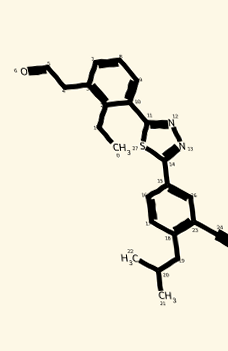 CCc1c(CC=O)cccc1-c1nnc(-c2ccc(CC(C)C)c(C#N)c2)s1